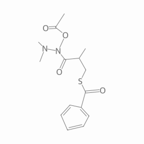 CC(=O)ON(C(=O)C(C)CSC(=O)c1ccccc1)N(C)C